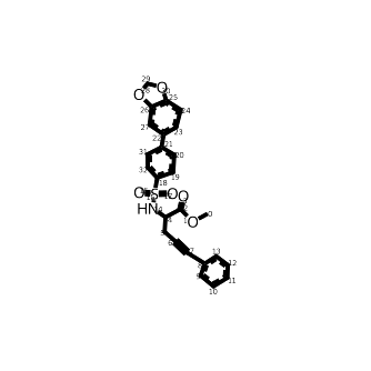 COC(=O)C(CC#Cc1ccccc1)NS(=O)(=O)c1ccc(-c2ccc3c(c2)OCO3)cc1